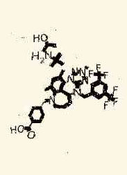 CC(C)(C)N.CC(C)O.Cc1cc(C)c2c(c1)[C@@H](N(Cc1cc(C(F)(F)F)cc(C(F)(F)F)c1)c1nnn(C)n1)CCCN2C[C@H]1CC[C@H](C(=O)O)CC1